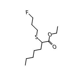 CCCCCC(SCCCF)C(=O)OCC